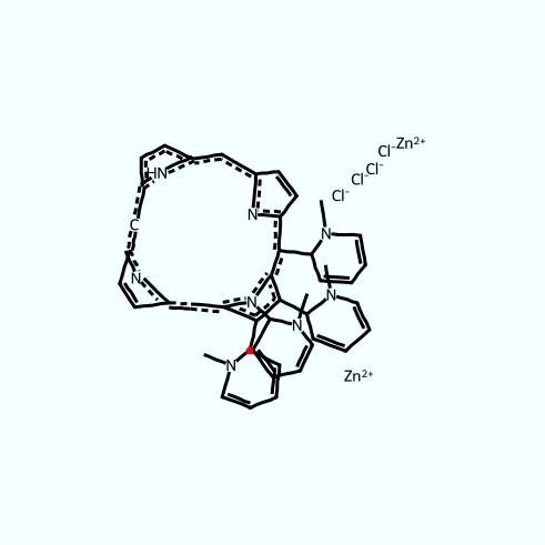 CN1C=CC=CC1c1c(C2C=CC=CN2C)c2c(C3C=CC=CN3C)c3nc(cc4ccc(cc5nc(cc1n2C1C=CC=CN1C)C=C5)[nH]4)C=C3.[Cl-].[Cl-].[Cl-].[Cl-].[Zn+2].[Zn+2]